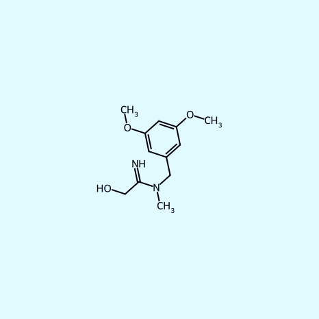 COc1cc(CN(C)C(=N)CO)cc(OC)c1